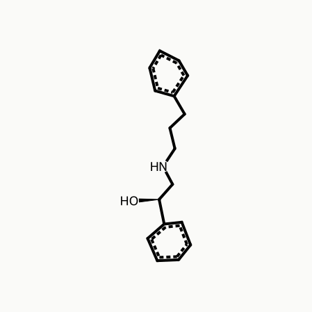 O[C@@H](CNCCCc1ccccc1)c1ccccc1